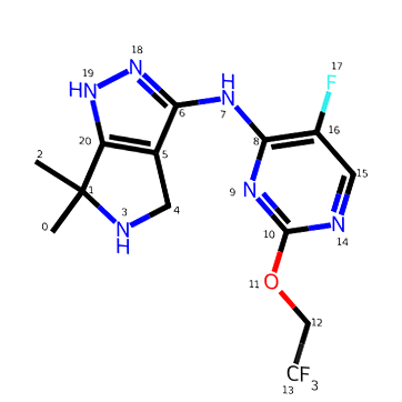 CC1(C)NCc2c(Nc3nc(OCC(F)(F)F)ncc3F)n[nH]c21